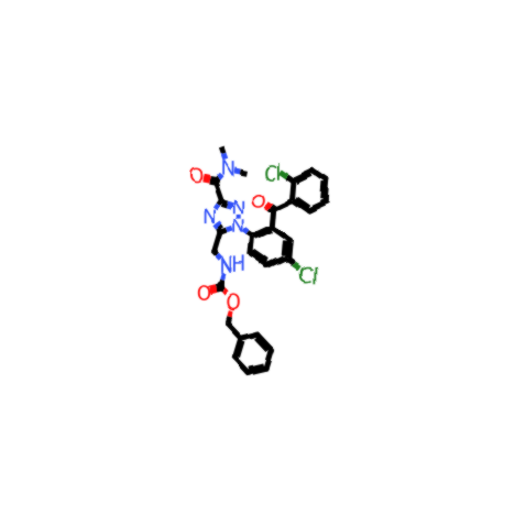 CN(C)C(=O)c1nc(CNC(=O)OCc2ccccc2)n(-c2ccc(Cl)cc2C(=O)c2ccccc2Cl)n1